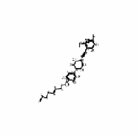 CCCCCCCCOc1ccc([C@H]2CC[C@H](C#Cc3ccc(F)nc3F)CC2)cc1